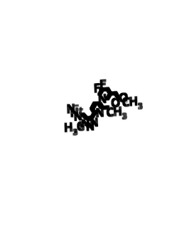 CCc1nc(-c2nnn(C)c2CN=[N+]=[N-])ccc1N1CC(CC(=O)OC)CC(F)(F)C1